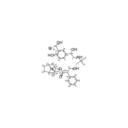 CC(C)(C)NCC(O)c1ccc(O)c(CO)c1.CC(C)[N+]1(C)C2CCC1CC(OC(=O)C(CO)c1ccccc1)C2.[Br-]